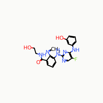 C=Nc1c(Nc2ncc(F)c(Nc3cccc(O)c3)n2)cccc1C(=O)NCCO